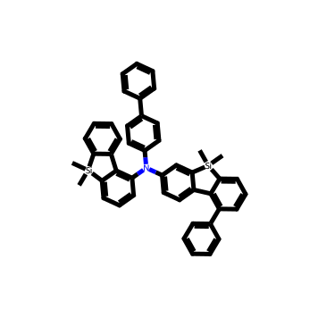 C[Si]1(C)c2cc(N(c3ccc(-c4ccccc4)cc3)c3cccc4c3-c3ccccc3[Si]4(C)C)ccc2-c2c(-c3ccccc3)cccc21